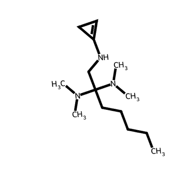 CCCCCC(CNC1=CC1)(N(C)C)N(C)C